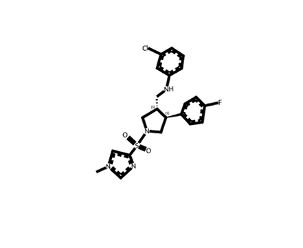 Cn1cnc(S(=O)(=O)N2C[C@H](CNc3cccc(Cl)c3)[C@@H](c3ccc(F)cc3)C2)c1